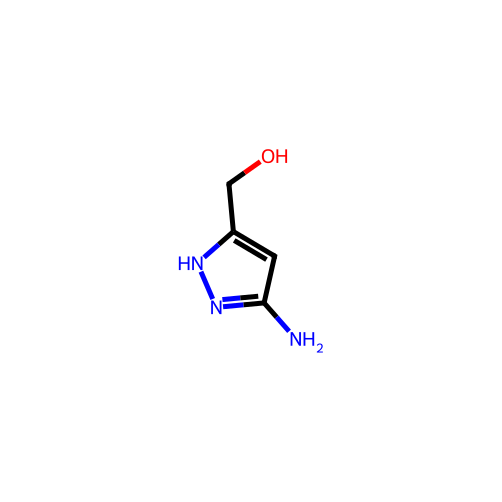 Nc1cc(CO)[nH]n1